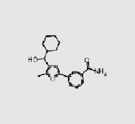 Cc1oc(-c2cccc(C(N)=O)c2)cc1C(O)C1CCCCC1